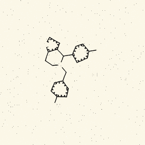 COc1ccc(CN2CCc3sccc3C2c2ccc(Cl)cc2)cc1.Cl